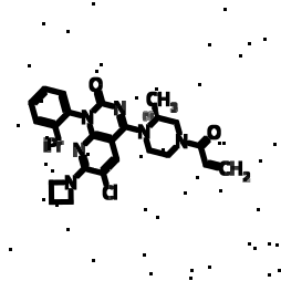 C=CC(=O)N1CCN(c2nc(=O)n(-c3ccccc3C(C)C)c3nc(N4CCC4)c(Cl)cc23)[C@@H](C)C1